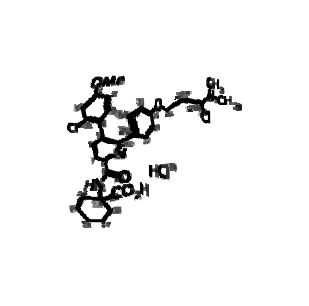 COc1ccc(-c2ccc(C(=O)NC3(C(=O)O)CCCCC3)nc2-c2ccc(OCCC(Cl)N(C)C)cc2)c(Cl)c1.Cl